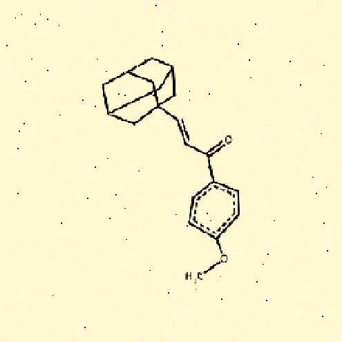 COc1ccc(C(=O)C=CC23CC4CC(CC(C4)C2)C3)cc1